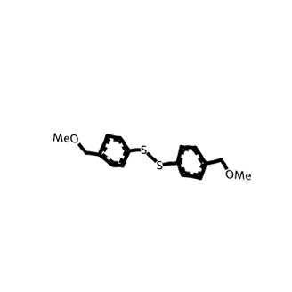 COCc1ccc(SSc2ccc(COC)cc2)cc1